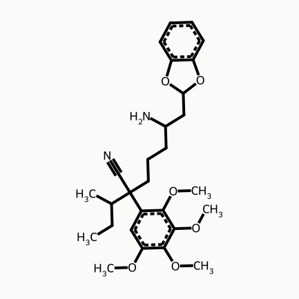 CCC(C)C(C#N)(CCCC(N)CC1Oc2ccccc2O1)c1cc(OC)c(OC)c(OC)c1OC